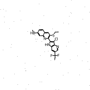 CBc1ccc2cc(SCC)c(-c3[nH]c4cc(C(F)(F)F)cnc4c3Cl)nc2c1